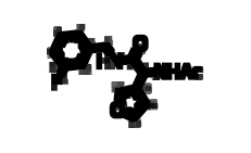 CC(=O)NC(C(=O)NCc1cccc(F)c1)c1ccoc1